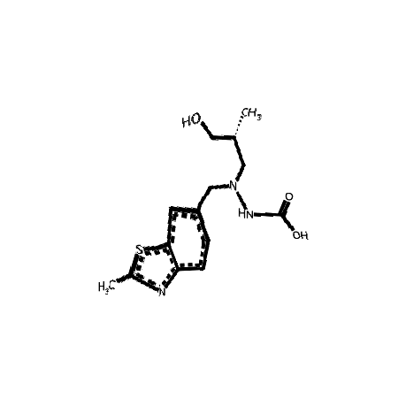 Cc1nc2ccc(CN(C[C@@H](C)CO)NC(=O)O)cc2s1